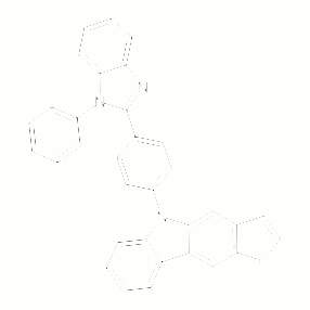 c1ccc(-n2c(-c3ccc(-n4c5ccccc5c5cc6occc6cc54)cc3)nc3ccccc32)cc1